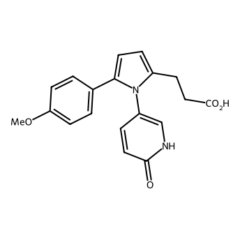 COc1ccc(-c2ccc(CCC(=O)O)n2-c2ccc(=O)[nH]c2)cc1